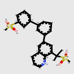 CC(C)(c1cc(-c2cccc(-c3cccc(S(C)(=O)=O)c3)c2)cc2cccnc12)S(C)(=O)=O